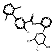 CC[C@H]1O[C@@H](c2ccncc2NC(=O)c2nc(-c3c(F)cccc3F)ncc2N)C[C@@H](O)[C@@H]1O